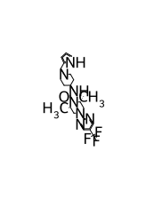 C[C@@H]1CN(c2ncc(C(F)(F)F)cn2)C[C@H](C)N1C(=O)NC1CCN(Cc2ccc[nH]2)CC1